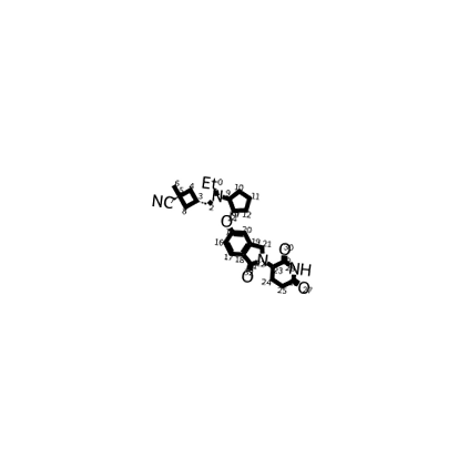 CCN(C[C@H]1C[C@@](C)(C#N)C1)C1CCC[C@@H]1Oc1ccc2c(c1)CN(C1CCC(=O)NC1=O)C2=O